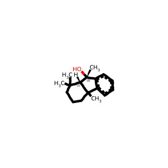 CC1(C)CCCC2(C)c3ccccc3[C@@](C)(O)[C@@H]12